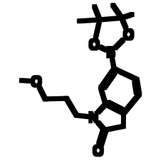 COCCCN1C(=O)Cc2ccc(B3OC(C)(C)C(C)(C)O3)cc21